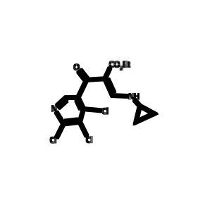 CCOC(=O)C(=CNC1CC1)C(=O)c1cnc(Cl)c(Cl)c1Cl